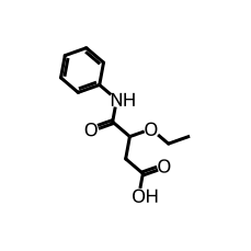 CCOC(CC(=O)O)C(=O)Nc1ccccc1